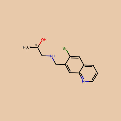 C[C@@H](O)CNCc1cc2ncccc2cc1Br